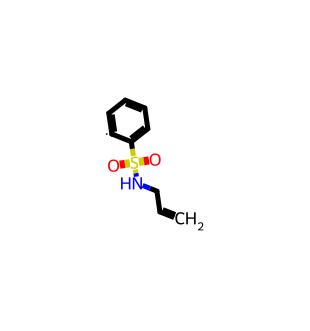 C=CCNS(=O)(=O)c1[c]cccc1